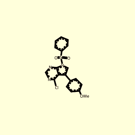 COc1ccc(-c2cn(S(=O)(=O)c3ccccc3)c3ncnc(Cl)c23)cc1